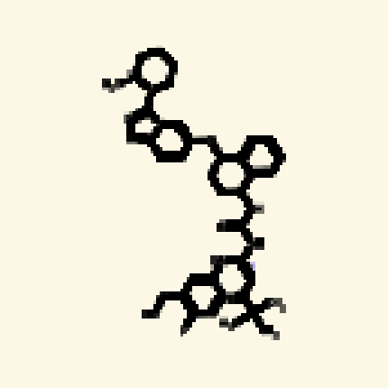 C[C@H]1CCCCN1c1nnc2ccc(OC3CCC(NC(=O)N/C(=C/C(=N)C(C)(C)C)Nc4ccc(F)c(CO)c4)c4ccccc43)cn12